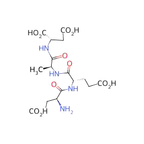 C[C@H](NC(=O)[C@H](CCC(=O)O)NC(=O)[C@@H](N)CC(=O)O)C(=O)N[C@@H](CC(=O)O)C(=O)O